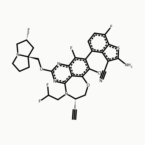 C#C[C@H]1COc2c(Cl)c(-c3ccc(F)c4sc(N)c(C#N)c34)c(F)c3nc(OC[C@@]45CCCN4C[C@H](F)C5)nc(c23)N1CC(F)F